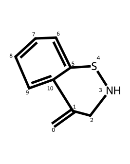 C=C1CNSc2ccccc21